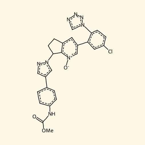 COC(=O)Nc1ccc(-c2cnn(C3CCc4cc(-c5cc(Cl)ccc5-n5cnnn5)c[n+]([O-])c43)c2)cc1